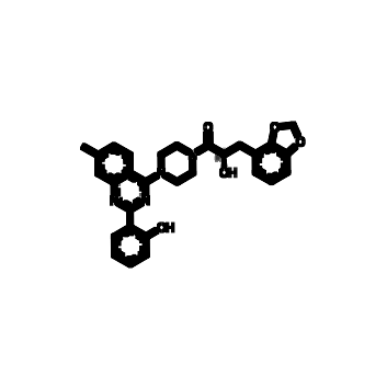 Cc1ccc2c(N3CCN(C(=O)[C@H](O)Cc4cccc5c4OCO5)CC3)nc(-c3ccccc3O)nc2c1